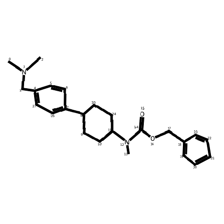 CN(C)Cc1ccc(C2CCC(N(C)C(=O)OCc3ccccc3)CC2)cc1